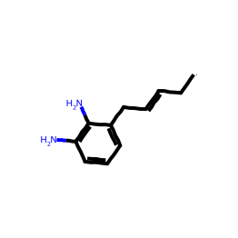 [CH2]CC=CCc1cccc(N)c1N